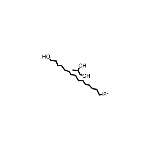 CC(C)CCCCCCCCCCCCCCCO.CC(O)CO